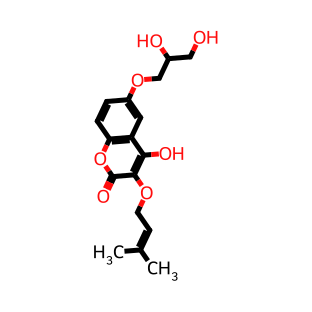 CC(C)=CCOc1c(O)c2cc(OCC(O)CO)ccc2oc1=O